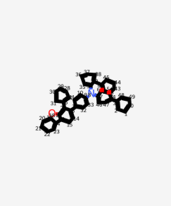 c1ccc(-c2ccc(N(c3ccc(-c4ccc5c(oc6ccccc65)c4-c4ccccc4)cc3)c3ccccc3-c3ccccc3)cc2)cc1